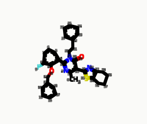 Cc1nc(-c2cccc(F)c2OCc2ccccc2)n(CCc2ccccc2)c(=O)c1-c1nc2c(s1)CCCC2